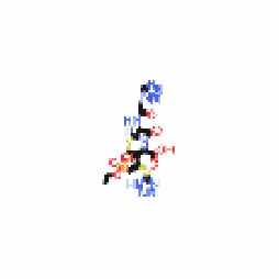 CCOP(=O)(O)CC(Sc1nnn[nH]1)C1=C(C(=O)O)N2C(=O)[C@@H](NC(=O)Cn3cnnn3)[C@@H]2SC1